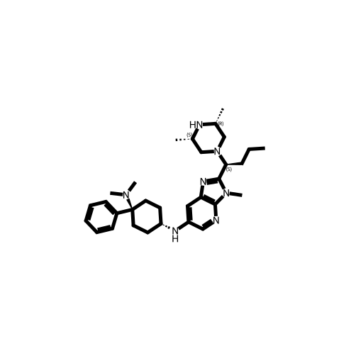 CCC[C@@H](c1nc2cc(N[C@H]3CC[C@](c4ccccc4)(N(C)C)CC3)cnc2n1C)N1C[C@@H](C)N[C@@H](C)C1